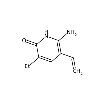 C=Cc1cc(CC)c(=O)[nH]c1N